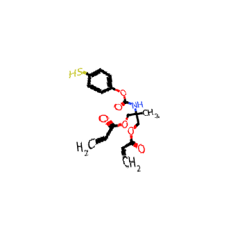 C=CC(=O)OCC(C)(COC(=O)C=C)NC(=O)Oc1ccc(S)cc1